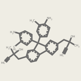 C#CC(C)(O)Cc1ccc2c(c1)C(c1ccc(N)c(C)c1)(c1ccc(N)c(C)c1)c1cc(CC(C)(O)C#C)ccc1-2